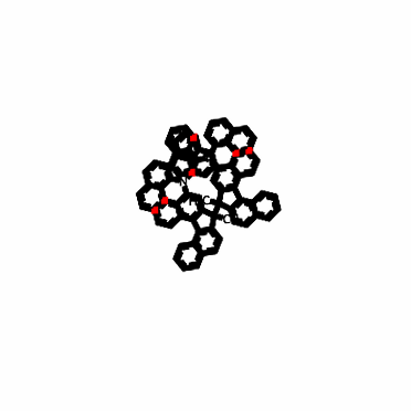 CC1(C2(C)c3ccc4ccccc4c3-c3c2cc(N(c2cccc4ccccc24)c2cccc4ccccc24)c2ccccc32)c2ccc3ccccc3c2-c2c1cc(N(c1cccc3ccccc13)c1cccc3ccccc13)c1ccccc21